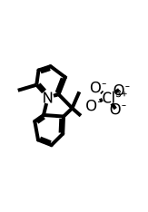 Cc1cccc2[n+]1-c1ccccc1C2(C)C.[O-][Cl+3]([O-])([O-])[O-]